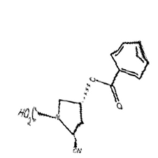 N#C[C@@H]1C[C@@H](OC(=O)c2ccccc2)CN1C(=O)O